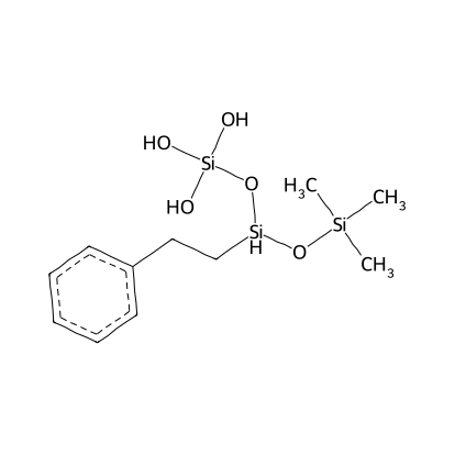 C[Si](C)(C)O[SiH](CCc1ccccc1)O[Si](O)(O)O